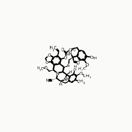 C=Cc1c2c(c3c(c1OC(C)=O)[C@@H](SC[C@@]1(C=O)NCCc4cc(O)c(OC)cc41)C1[C@H]4N[C@@H](Cc5cc(C)c(OC)c(O)c54)[C@H](C#N)N1[C@H]3COC)OCO2